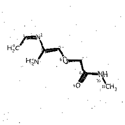 C/C=N\C(N)=C\OCC(=O)NC